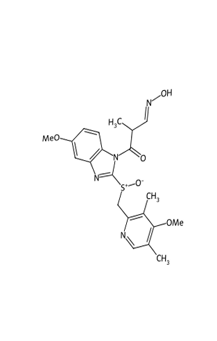 COc1ccc2c(c1)nc([S+]([O-])Cc1ncc(C)c(OC)c1C)n2C(=O)C(C)/C=N/O